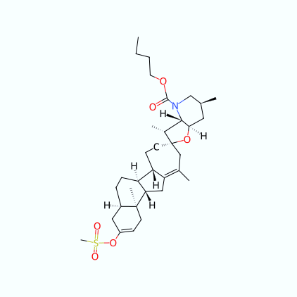 CCCCOC(=O)N1C[C@@H](C)C[C@H]2O[C@]3(CC[C@@H]4C(=C(C)C3)C[C@H]3[C@H]4CC[C@@H]4CC(OS(C)(=O)=O)=CC[C@@]43C)[C@H](C)[C@@H]21